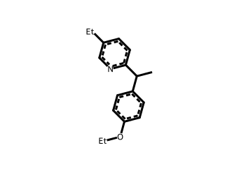 CCOc1ccc(C(C)c2ccc(CC)cn2)cc1